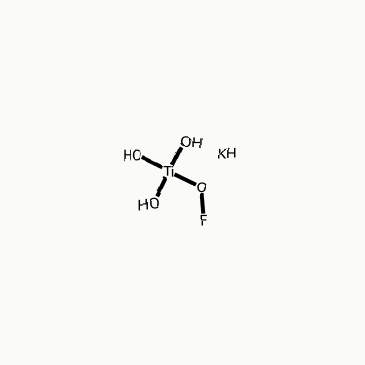 [KH].[OH][Ti]([OH])([OH])[O]F